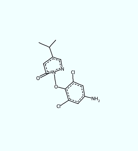 CC(C)c1cnn(Oc2c(Cl)cc(N)cc2Cl)c(=O)c1